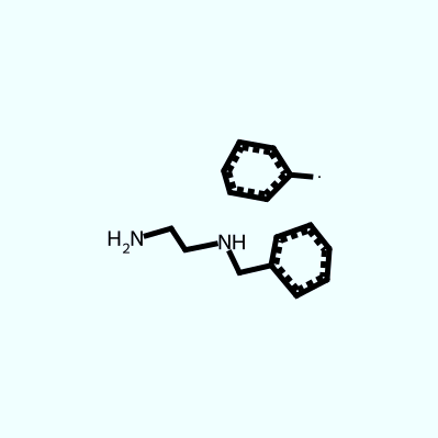 NCCNCc1ccccc1.[CH2]c1ccccc1